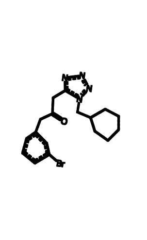 O=C(Cc1cccc(Br)c1)Cc1nnnn1CC1CCCCC1